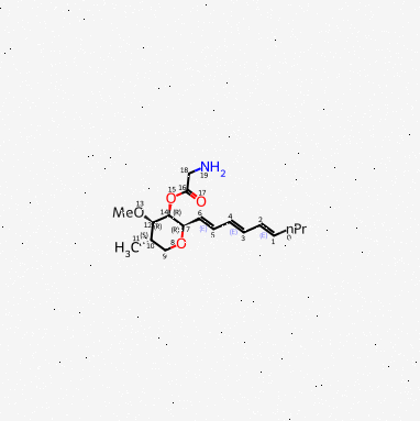 CCC/C=C/C=C/C=C/[C@H]1OC[C@H](C)[C@@H](OC)[C@H]1OC(=O)CN